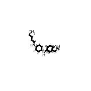 CCCCCN[C@H]1CC[C@H](Nc2ccc3[nH]ncc3c2)CC1